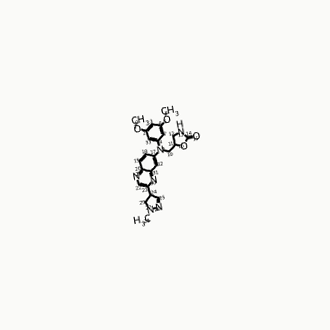 COc1cc(OC)cc(N(CC2CNC(=O)O2)c2ccc3ncc(C4C=NN(C)C4)nc3c2)c1